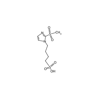 CS(=O)(=O)c1nccn1CCCCS(=O)(=O)O